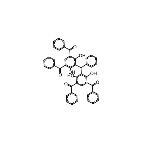 O=C(c1ccccc1)c1cc(C(=O)c2ccccc2)c(O)c(C(c2ccccc2)c2c(O)c(C(=O)c3ccccc3)cc(C(=O)c3ccccc3)c2O)c1O